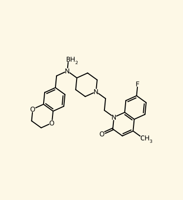 BN(Cc1ccc2c(c1)OCCO2)C1CCN(CCn2c(=O)cc(C)c3ccc(F)cc32)CC1